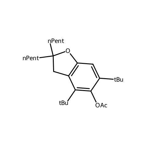 CCCCCC1(CCCCC)Cc2c(cc(C(C)(C)C)c(OC(C)=O)c2C(C)(C)C)O1